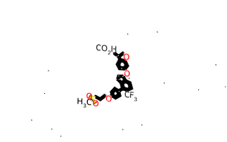 CS(=O)(=O)CCCOc1ccc(-c2c(C(F)(F)F)ccc3c2CCC3Oc2ccc3c(c2)OCC3CC(=O)O)cc1